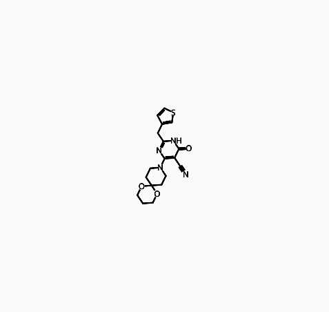 N#Cc1c(N2CCC3(CC2)OCCCO3)nc(Cc2ccsc2)[nH]c1=O